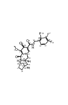 COc1c2n(cc(C(=O)NCc3ccc(F)c(F)c3F)c1=O)C[C@@H]1C[C@H]3CC[C@H](C3)N1C2=O